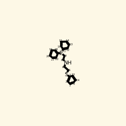 c1ccc(SCCNCCP(c2ccccc2)c2ccccc2)cc1